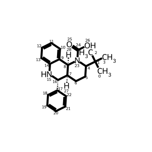 CC(C)(C)C1CC[C@@H]2[C@@H](c3ccccc3N[C@H]2c2ccccc2)N1C(=O)O